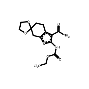 NC(=O)c1c(NC(=O)OCC(Cl)(Cl)Cl)sc2c1CCC1(C2)OCCO1